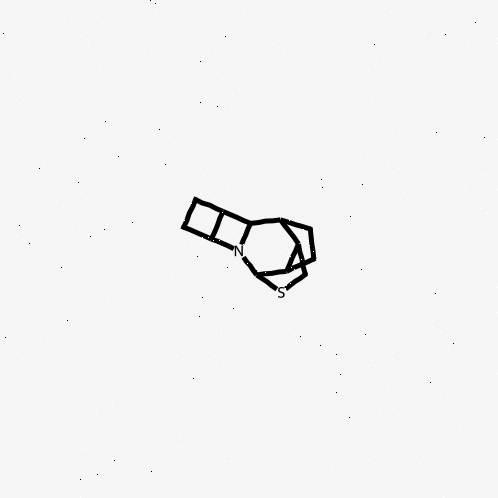 C1SC2C3CCC(C13)C1C3CCC3N21